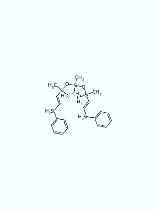 C[Si](C)(C=C[SiH2]c1ccccc1)O[Si](C)(C)O[Si](C)(C)C=C[SiH2]c1ccccc1